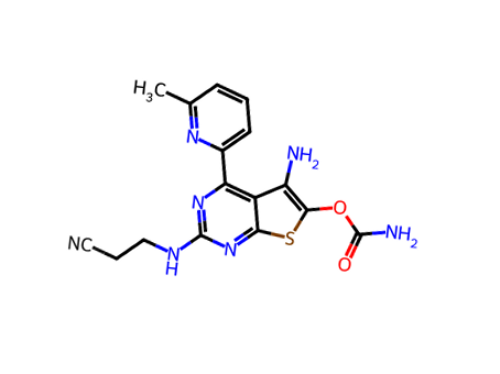 Cc1cccc(-c2nc(NCCC#N)nc3sc(OC(N)=O)c(N)c23)n1